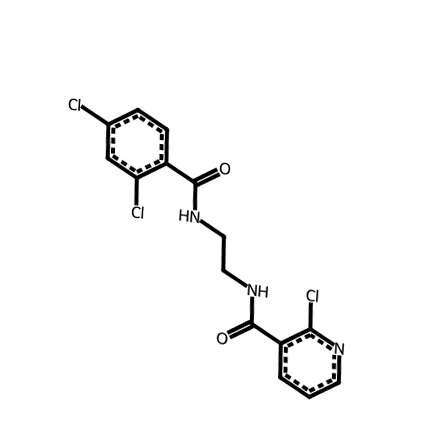 O=C(NCCNC(=O)c1cccnc1Cl)c1ccc(Cl)cc1Cl